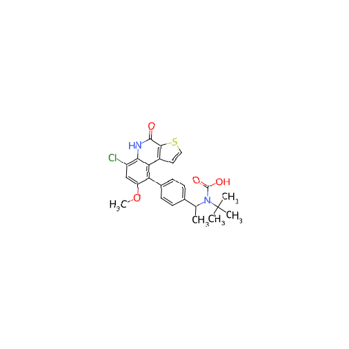 COc1cc(Cl)c2[nH]c(=O)c3sccc3c2c1-c1ccc(C(C)N(C(=O)O)C(C)(C)C)cc1